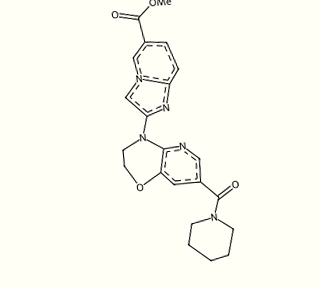 COC(=O)c1ccc2nc(N3CCOc4cc(C(=O)N5CCCCC5)cnc43)cn2c1